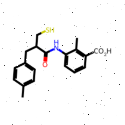 Cc1ccc(CC(CS)C(=O)Nc2cccc(C(=O)O)c2C)cc1